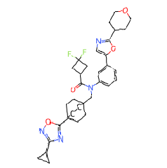 O=C(C1CC(F)(F)C1)N(CC12CCC(c3nc(C4CC4)no3)(CC1)CC2)c1cccc(-c2cnc(C3CCOCC3)o2)c1